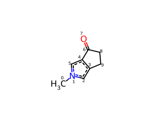 Cn1cc2c(c1)C(=O)CC2